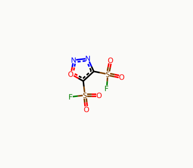 O=S(=O)(F)c1nnoc1S(=O)(=O)F